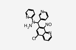 NN(c1ccccn1)C(c1cccnc1)c1cc(Cl)c2cccnc2c1N=O